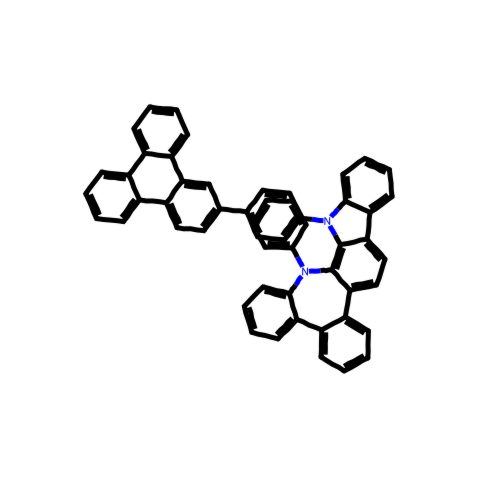 c1ccc(N2c3ccccc3-c3ccccc3-c3ccc4c5ccccc5n(-c5ccc(-c6ccc7c8ccccc8c8ccccc8c7c6)cc5)c4c32)cc1